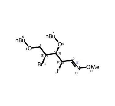 CCCCOC[C@H](Br)[C@@H](OCCCC)[C@H](F)/C=N/OC